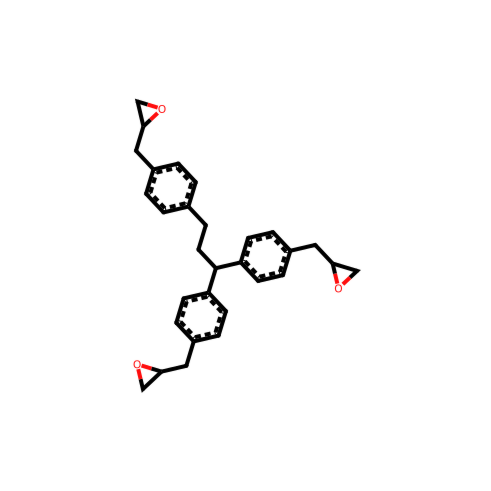 c1cc(CC2CO2)ccc1CCC(c1ccc(CC2CO2)cc1)c1ccc(CC2CO2)cc1